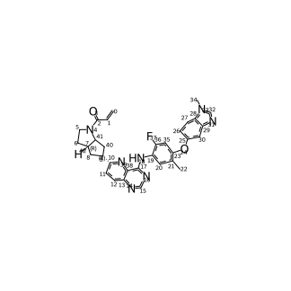 C=CC(=O)N1CC[C@H]2C[C@@H](c3ccc4ncnc(Nc5cc(C)c(Oc6ccc7c(c6)ncn7C)cc5F)c4n3)CC21